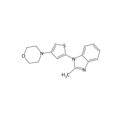 Cc1nc2ccccc2n1-c1cc(N2CCOCC2)cs1